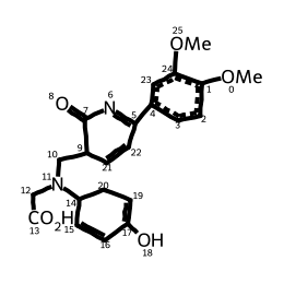 COc1ccc(C2=NC(=O)C(CN(CC(=O)O)C3C=CC(O)=CC3)C=C2)cc1OC